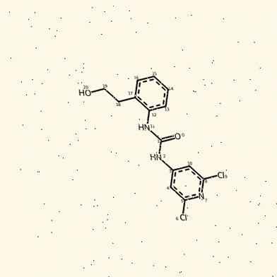 O=C(Nc1cc(Cl)nc(Cl)c1)Nc1ccccc1CCO